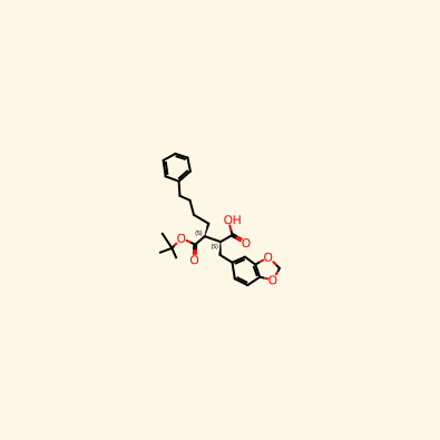 CC(C)(C)OC(=O)[C@@H](CCCCc1ccccc1)[C@H](Cc1ccc2c(c1)OCO2)C(=O)O